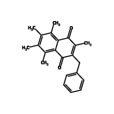 CC1=C(Cc2ccccc2)C(=O)c2c(C)c(C)c(C)c(C)c2C1=O